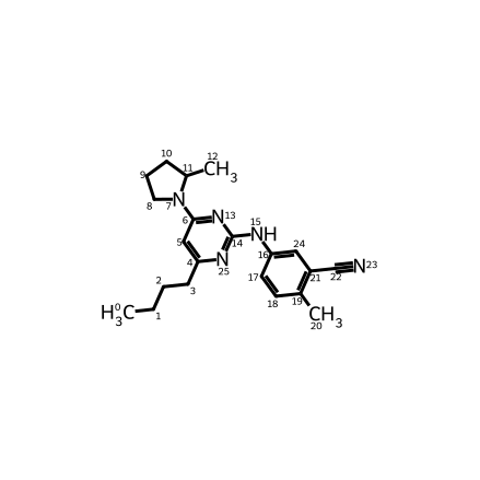 CCCCc1cc(N2CCCC2C)nc(Nc2ccc(C)c(C#N)c2)n1